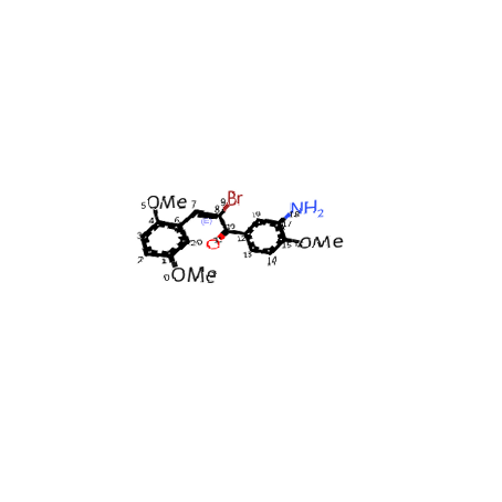 COc1ccc(OC)c(/C=C(/Br)C(=O)c2ccc(OC)c(N)c2)c1